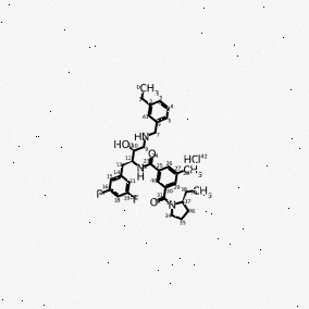 CCc1cccc(CNC[C@H](O)[C@H](Cc2cc(F)cc(F)c2)NC(=O)c2cc(C)cc(C(=O)N3CCC[C@@H]3CC)c2)c1.Cl